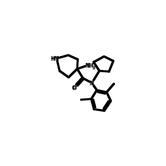 Cc1cccc(C)c1N(C(=O)C1(N)CCNCC1)C1CCCC1